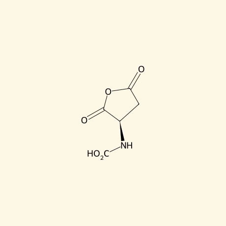 O=C(O)N[C@@H]1CC(=O)OC1=O